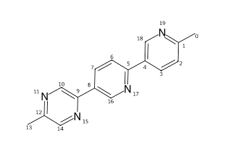 Cc1ccc(-c2ccc(-c3cnc(C)cn3)cn2)cn1